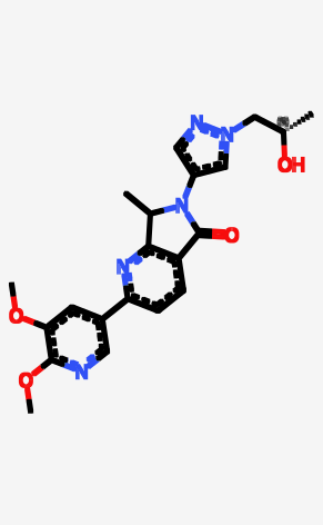 COc1cc(-c2ccc3c(n2)C(C)N(c2cnn(C[C@H](C)O)c2)C3=O)cnc1OC